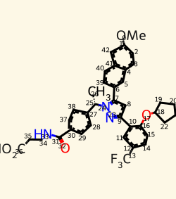 COc1ccc2cc(-c3cc(-c4cc(C(F)(F)F)ccc4OC4CCCC4)nn3[C@@H](C)c3ccc(C(=O)NCCC(=O)O)cc3)ccc2c1